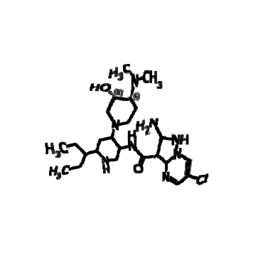 CCC(CC)C1CC(N2CC[C@H](N(C)C)[C@@H](O)C2)C(NC(=O)C2C(N)NN3C=C(Cl)C=NC23)CN1